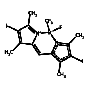 CC1=C(I)C(C)=[N+]2C1=Cc1c(C)c(I)c(C)n1[B-]2(F)C(F)(F)F